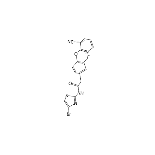 N#Cc1cccnc1Oc1ccc(CC(=O)Nc2nc(Br)cs2)cc1F